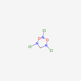 ClN1CN(Cl)ON(Cl)O1